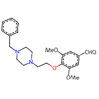 COc1cc(C=O)cc(OC)c1OCCN1CCN(Cc2ccccc2)CC1